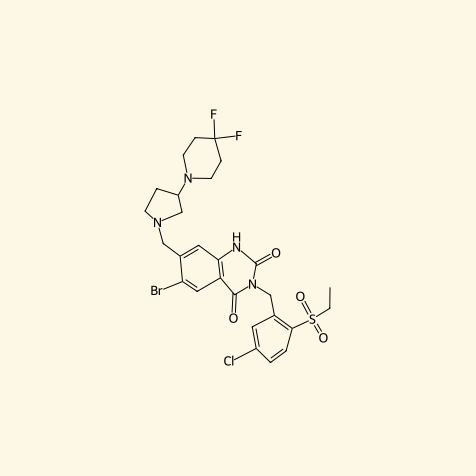 CCS(=O)(=O)c1ccc(Cl)cc1Cn1c(=O)[nH]c2cc(CN3CCC(N4CCC(F)(F)CC4)C3)c(Br)cc2c1=O